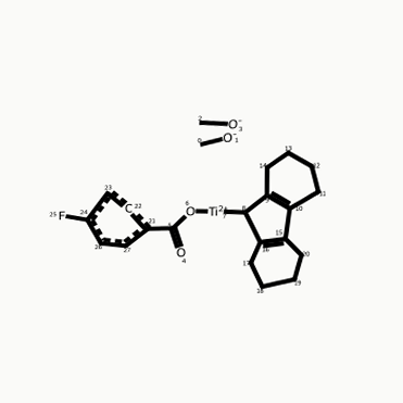 C[O-].C[O-].O=C([O][Ti+2][CH]1C2=C(CCCC2)C2=C1CCCC2)c1ccc(F)cc1